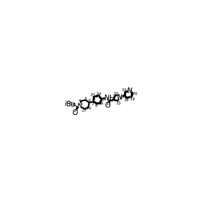 CC[C@H](C)C(=O)N1CCC(c2ccc(NC(=O)C3CN(c4cccnc4)C3)cc2)CC1